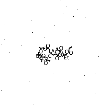 C=CC(=O)OCC(CC)(COC(=O)C=C)COC(=O)CCC(CCC(=O)OCC(C)OCC(C)OCC(C)OC(=O)C=C)(C(C)=O)C(=O)OCC